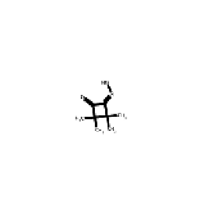 CC1(C)C(=O)C(=NO)C1(C)C